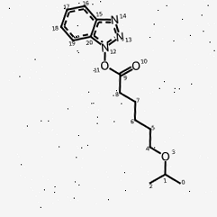 CC(C)OCCCCCC(=O)On1nnc2ccccc21